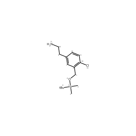 CC(C)(C)[Si](C)(C)OCc1cc(CCN)ccc1Cl